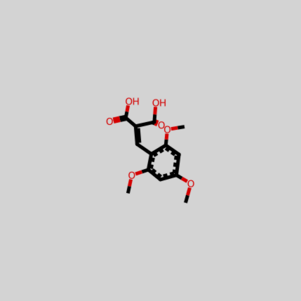 COc1cc(OC)c(C=C(C(=O)O)C(=O)O)c(OC)c1